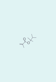 C=C(C)C(=O)OC(C)(C)C(C)C